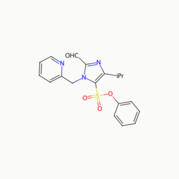 CC(C)c1nc(C=O)n(Cc2ccccn2)c1S(=O)(=O)Oc1ccccc1